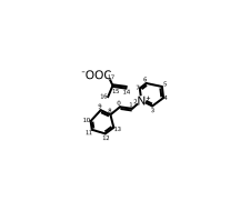 C(=C\[n+]1ccccc1)/c1ccccc1.C=C(C)C(=O)[O-]